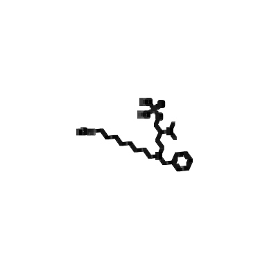 CCCCCCCCCCCCCCCCCCN(CCC(COP(=O)(O)O)N(C)C)Cc1ccccc1